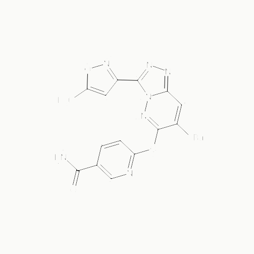 Cc1cc(-c2nnc3cc(C(C)(C)C)c(Oc4ccc(C(N)=O)cn4)nn23)no1